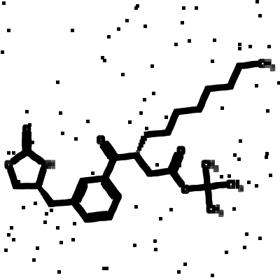 CCCCCCCC[C@H](CC(=O)OC(C)(C)C)C(=O)c1cccc(C[C@H]2COC(=O)N2)c1